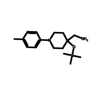 Cc1ccc(N2CCC(CN)(O[Si](C)(C)C)CC2)cc1